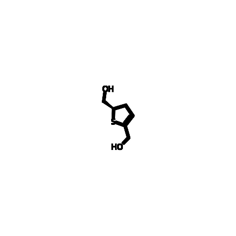 OCC1=CC[C@H](CO)S1